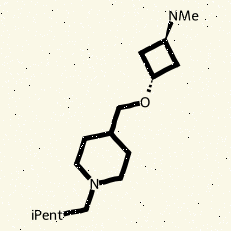 CCCC(C)CN1CCC(CO[C@H]2C[C@H](NC)C2)CC1